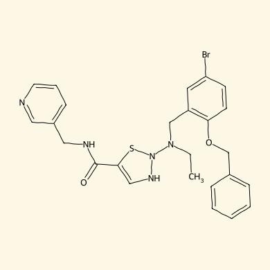 CCN(Cc1cc(Br)ccc1OCc1ccccc1)N1NC=C(C(=O)NCc2cccnc2)S1